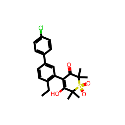 CCc1ccc(-c2ccc(Cl)cc2)cc1C1=C(O)C(C)(C)S(=O)(=O)C(C)(C)C1=O